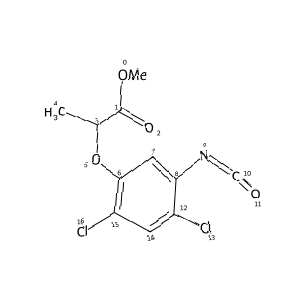 COC(=O)C(C)Oc1cc(N=C=O)c(Cl)cc1Cl